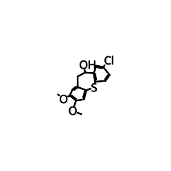 COc1cc2c(cc1OC)Sc1ccc(Cl)cc1C(O)C2